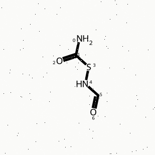 NC(=O)SNC=O